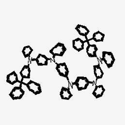 c1ccc(N(c2ccc(N(c3ccccc3)c3ccc(N(c4ccccc4)c4ccc(C(c5ccccc5)(c5ccccc5)c5ccccc5)cc4)cc3)cc2)c2ccc(N(c3ccccc3)c3ccc(N(c4ccccc4)c4ccc(C(c5ccccc5)(c5ccccc5)c5ccccc5)cc4)cc3)cc2)cc1